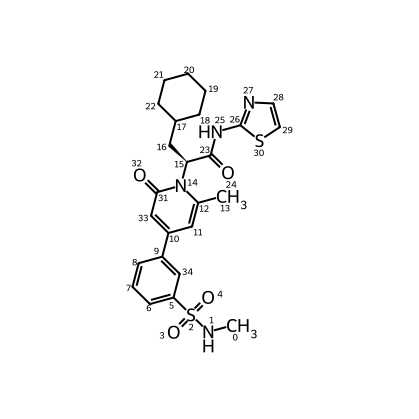 CNS(=O)(=O)c1cccc(-c2cc(C)n([C@@H](CC3CCCCC3)C(=O)Nc3nccs3)c(=O)c2)c1